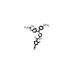 COc1ccc(C(c2ccc(OC(C)C)nc2)N2CC[C@@H](NC(=O)c3ccc(C#N)cc3F)C2)cc1